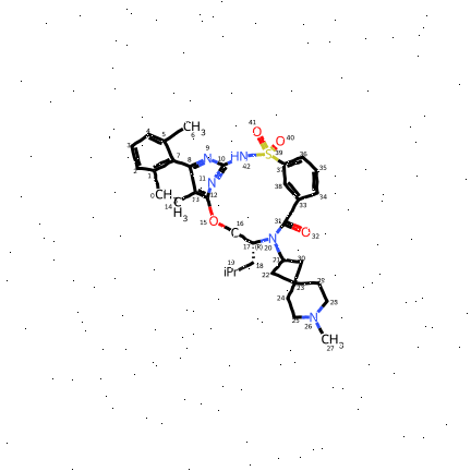 Cc1cccc(C)c1-c1nc2nc(c1C)OC[C@@H](CC(C)C)N(C1CC3(CCN(C)CC3)C1)C(=O)c1cccc(c1)S(=O)(=O)N2